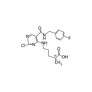 C[C@@H](CCCNc1nc(Cl)ncc1C(=O)NCc1ccc(F)cc1)C(=O)O